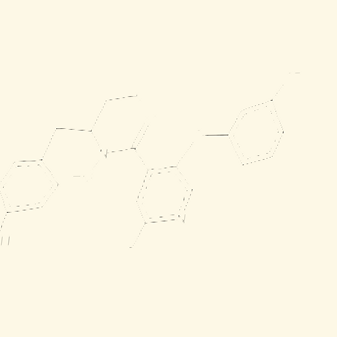 Cc1ccc(CC(CCl)N(O)C(=O)c2cc(Cl)ncc2Oc2cccc(C(F)(F)F)c2)cc1